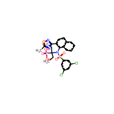 CCC(CC)(N(c1c(-c2noc(C)n2)ccc2ccccc12)S(=O)(=O)c1cc(Cl)cc(Cl)c1)P(=O)(O)O